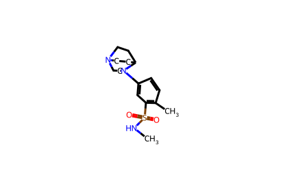 CNS(=O)(=O)c1cc(N2CCN3CCC2CC3)ccc1C